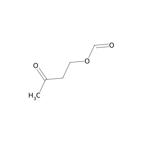 CC(=O)CCOC=O